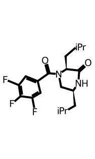 CC(C)C[C@H]1CN(C(=O)c2cc(F)c(F)c(F)c2)[C@@H](CC(C)C)C(=O)N1